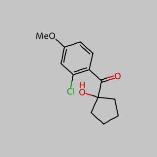 COc1ccc(C(=O)C2(O)CCCC2)c(Cl)c1